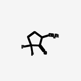 CCOC(=O)C1CCC(F)(F)C1=O